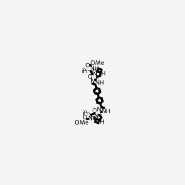 COC(=O)N[C@H](C(=O)N1[C@@H]2CC[C@@H]2C[C@H]1c1nc(-c2ccc(-c3ccc(-c4cnc([C@@H]5C[C@H]6CC[C@H]6N5C(=O)[C@@H](NC(=O)OC)C(C)C)[nH]4)cc3)cc2)c[nH]1)C(C)C